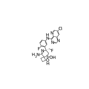 NC1=N[C@@](CF)(c2cc(Nc3ncnc4cc(Cl)cnc34)ccc2F)CS(O)(O)C12CCC2